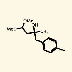 COC(CC(C)(O)Cc1ccc(F)cc1)OC